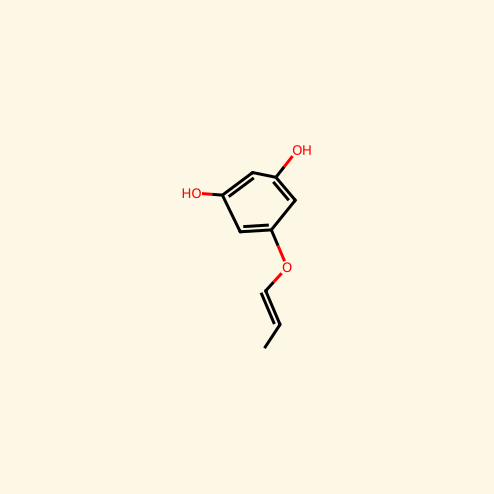 CC=COc1cc(O)cc(O)c1